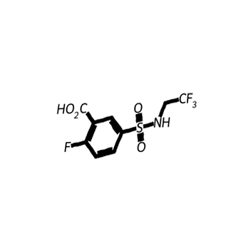 O=C(O)c1cc(S(=O)(=O)NCC(F)(F)F)ccc1F